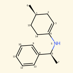 C[C@H]1CC=C(N[C@@H](C)c2ccccc2)CC1